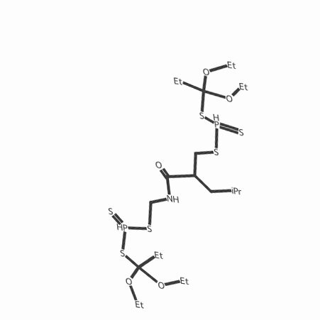 CCOC(CC)(OCC)S[PH](=S)SCNC(=O)C(CS[PH](=S)SC(CC)(OCC)OCC)CC(C)C